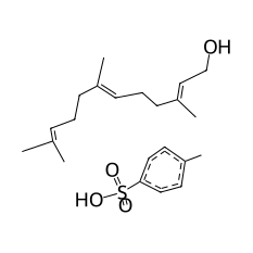 CC(C)=CCCC(C)=CCCC(C)=CCO.Cc1ccc(S(=O)(=O)O)cc1